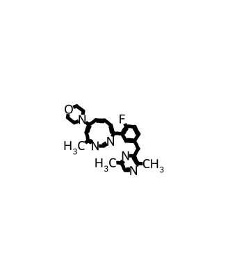 Cc1cc(N2CCOCC2)cccc(-c2cc(Cc3nc(C)cnc3C)ccc2F)ncn1